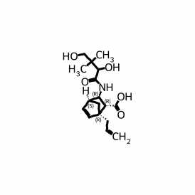 C=CC[C@]12C=C[C@H](C1)[C@@H](NC(=O)C(O)C(C)(C)CO)[C@@H]2C(=O)O